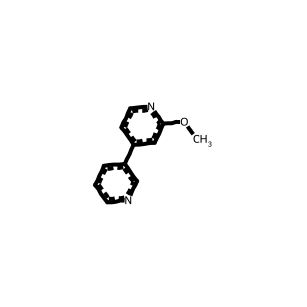 COc1cc(-c2cccnc2)ccn1